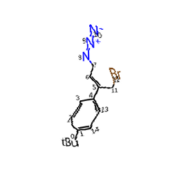 CC(C)(C)c1ccc(/C(=C/CN=[N+]=[N-])CBr)cc1